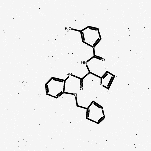 O=C(NC(C(=O)Nc1ccccc1OCc1ccccc1)c1cccs1)c1cccc(C(F)(F)F)c1